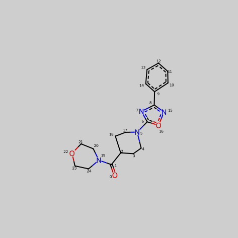 O=C(C1CCN(c2nc(-c3ccccc3)no2)CC1)N1CCOCC1